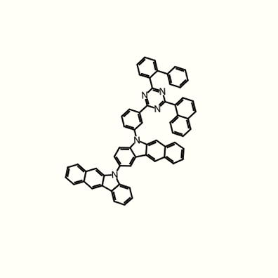 c1ccc(-c2ccccc2-c2nc(-c3cccc(-n4c5ccc(-n6c7ccccc7c7cc8ccccc8cc76)cc5c5cc6ccccc6cc54)c3)nc(-c3cccc4ccccc34)n2)cc1